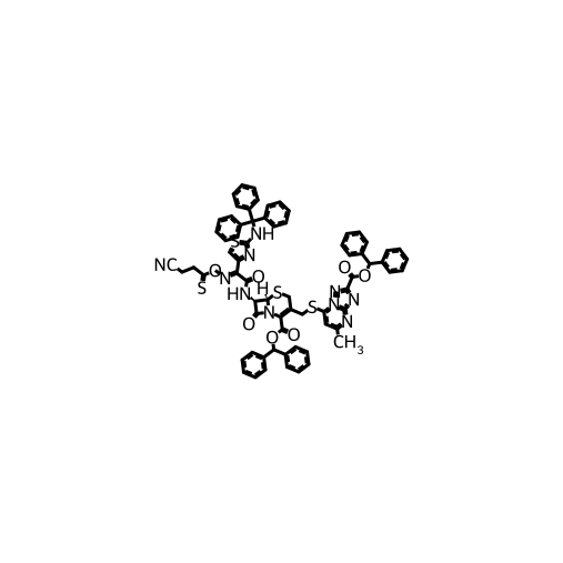 Cc1cc(SCC2=C(C(=O)OC(c3ccccc3)c3ccccc3)N3C(=O)[C@@H](NC(=O)C(=NOC(=S)CCC#N)c4csc(NC(c5ccccc5)(c5ccccc5)c5ccccc5)n4)[C@H]3SC2)n2nc(C(=O)OC(c3ccccc3)c3ccccc3)nc2n1